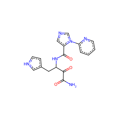 NC(=O)C(=O)C(Cc1cc[nH]c1)NC(=O)c1cncn1-c1ccccn1